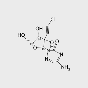 Nc1cnn([C@@H]2O[C@H](CO)[C@H](O)C2(O)C#CCl)c(=O)n1